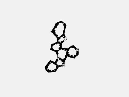 c1ccc2c(c1)nc1c3ccncc3c3c4oc5ccccc5c4ccc3n21